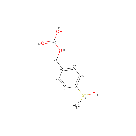 C[S+]([O-])c1ccc(COC(=O)O)cc1